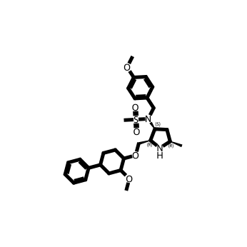 COc1ccc(CN([C@H]2C[C@@H](C)N[C@H]2COC2CCC(c3ccccc3)CC2OC)S(C)(=O)=O)cc1